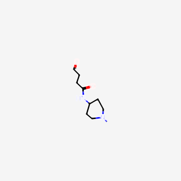 CN1CCC(NC(=O)CCC=O)CC1